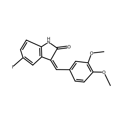 COc1ccc(C=C2C(=O)Nc3ccc(I)cc32)cc1OC